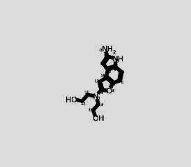 Nc1cc2c(ccc3oc(N(CCO)CCO)cc32)[nH]1